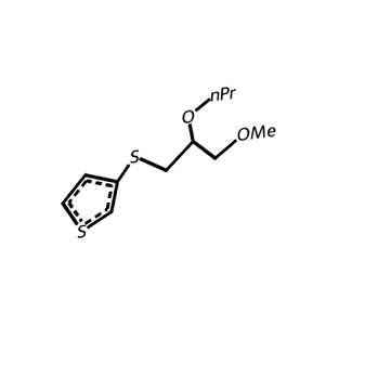 CCCOC(COC)CSc1ccsc1